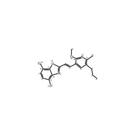 CCCc1cc(C=Cc2nc3c(Cl)ccc(Cl)c3o2)c(OC)nc1C